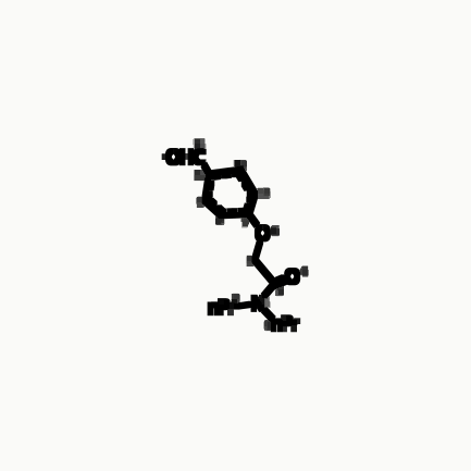 CCCN(CCC)C(=O)COc1ccc([C]=O)cc1